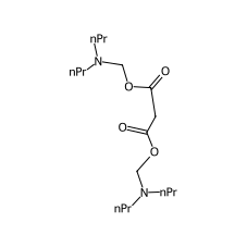 CCCN(CCC)COC(=O)CC(=O)OCN(CCC)CCC